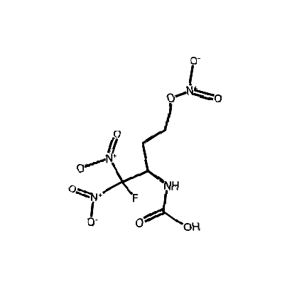 O=C(O)NC(CCO[N+](=O)[O-])C(F)([N+](=O)[O-])[N+](=O)[O-]